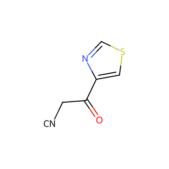 [C-]#[N+]CC(=O)c1cscn1